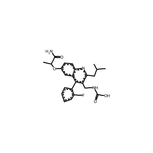 CC(C)Cc1nc2ccc(OC(C)C(N)=O)cc2c(-c2ccccc2F)c1CNC(=O)O